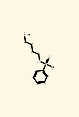 CCCCCCCCCCCCOP(=O)(O)c1ccccc1